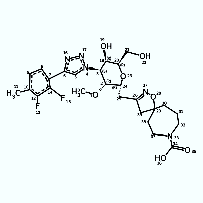 CO[C@@H]1[C@@H](n2cc(-c3ccc(C)c(F)c3F)nn2)[C@@H](O)[C@@H](CO)O[C@@H]1CC1=NOC2(CCCN(C(=O)O)CC2)C1